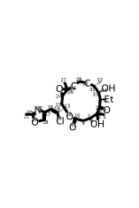 CC[C@H]1C(=O)C(C)(C)[C@@H](O)CC(=O)O[C@H](C(Cl)=Cc2coc(C)n2)CC2OC2(C)CCC[C@H](C)[C@@H]1O